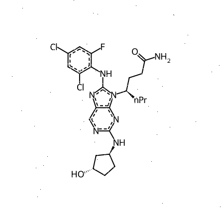 CCC[C@H](CCC(N)=O)n1c(Nc2c(F)cc(Cl)cc2Cl)nc2cnc(N[C@H]3CC[C@H](O)C3)nc21